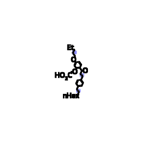 CC/C=C/COc1ccc(C(=O)/C=C/c2ccc(/C=C/CCCCCC)cc2)c(OCC(=O)O)c1